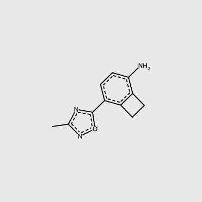 Cc1noc(-c2ccc(N)c3c2CC3)n1